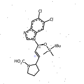 CC(C)(C)[Si](C)(C)O[C@@H](/C=C/C1CCCN1C(=O)O)n1cnc2cc(Cl)c(Cl)cc21